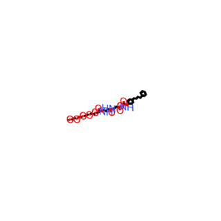 COCCOCCOCCOCCOCC(=O)NCCCC(=O)NCCC(=O)ONC(=O)Cc1ccc(CCCCc2ccccc2)cc1